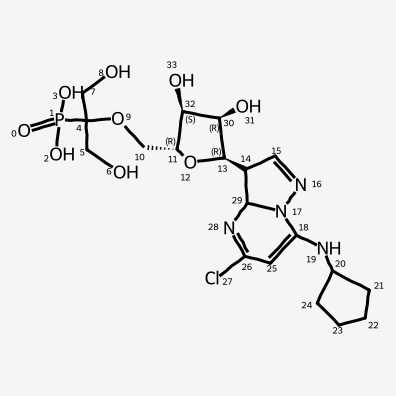 O=P(O)(O)C(CO)(CO)OC[C@H]1O[C@H](C2C=NN3C(NC4CCCC4)=CC(Cl)=NC23)[C@H](O)[C@@H]1O